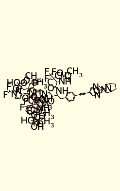 COC(=O)N[C@H](C(=O)N[C@@H](Cc1ccc(C#Cc2cnc(N3CC4CCC(C3)N4C3COC3)nc2)cc1)[C@H](CN(Cc1c(F)cc(-c2ccn(C(F)F)n2)cc1F)NC(=O)[C@@H](NC(=O)OC)C(C)(C)C(F)(F)F)OC(=O)CC(C)(C)c1c(CC(=O)N[C@@H](CS(=O)(=O)O)C(=O)OC)cccc1OP(=O)(O)O)C(C)(C)C(F)(F)F